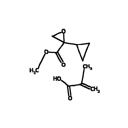 C=C(C)C(=O)O.COC(=O)C1(C2CC2)CO1